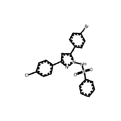 O=S(=O)(Nn1nc(-c2ccc(Cl)cc2)cc1-c1ccc(Br)cc1)c1ccccc1